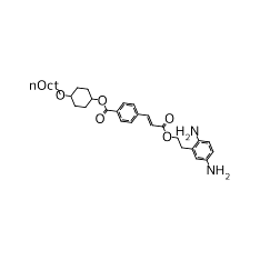 CCCCCCCCOC1CCC(OC(=O)c2ccc(/C=C/C(=O)OCCc3cc(N)ccc3N)cc2)CC1